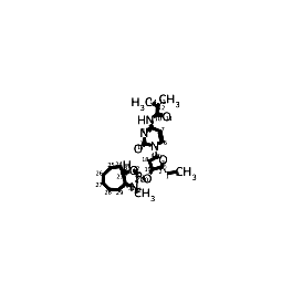 CC[C@H]1O[C@@H](n2ccc(NC(=O)C(C)C)nc2=O)CC1O[P@]1O[C@H]2CCCCCCC2N1C